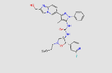 COCCN1C[C@@H](NC(=O)Nc2c(C)c(-c3ccc4nc(CO)cn4c3)nn2-c2ccccc2)[C@H](c2ccnc(F)c2)O1